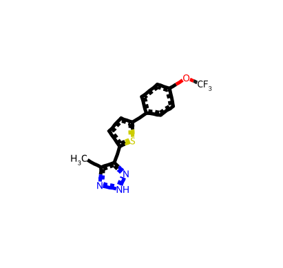 Cc1n[nH]nc1-c1ccc(-c2ccc(OC(F)(F)F)cc2)s1